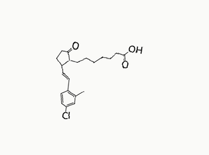 Cc1cc(Cl)ccc1C=CC1CCC(=O)C1CCCCCCC(=O)O